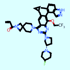 C=CC(=O)N1CC2(CCN(c3nc(N4CC[C@H](N5CCC(F)CC5)C4)nc4c(OCC(F)(F)F)c(-c5c(C)ccc6[nH]ncc56)c(C5CC5)cc34)CC2)C1